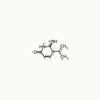 CC(C)n1ccc(=O)[nH]c1=N